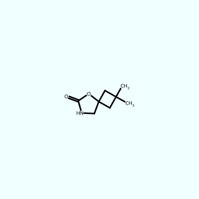 CC1(C)CC2(CNC(=O)O2)C1